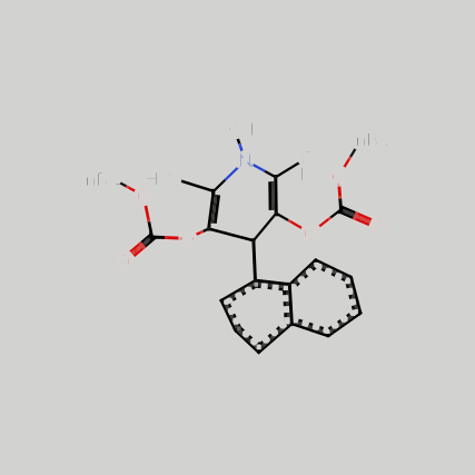 CCCCOC(=O)OC1=C(C)N(C)C(C)=C(OC(=O)OCCCC)C1c1cccc2ccccc12